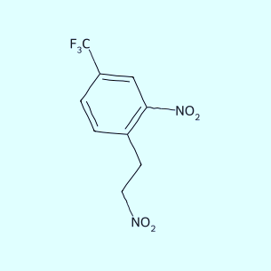 O=[N+]([O-])CCc1ccc(C(F)(F)F)cc1[N+](=O)[O-]